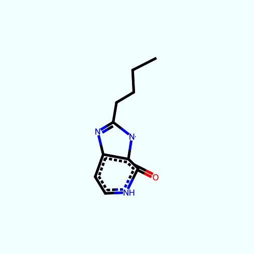 CCCCC1=Nc2cc[nH]c(=O)c2[N]1